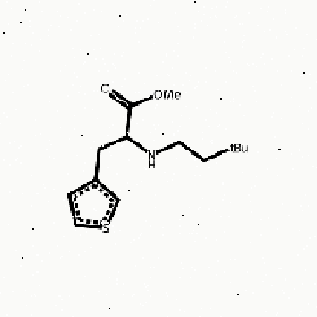 COC(=O)C(Cc1ccsc1)NCCC(C)(C)C